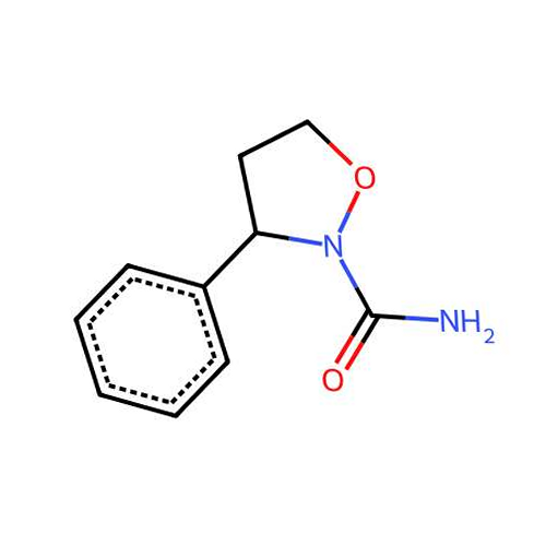 NC(=O)N1OCCC1c1ccccc1